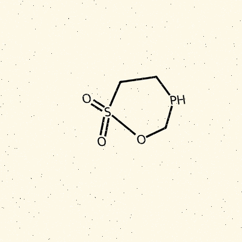 O=S1(=O)CCPCO1